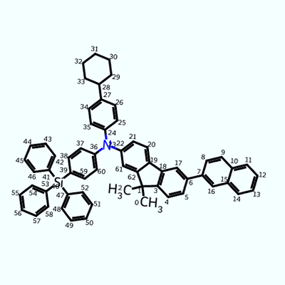 CC1(C)c2ccc(-c3ccc4ccccc4c3)cc2-c2ccc(N(c3ccc(C4CCCCC4)cc3)c3ccc([Si](c4ccccc4)(c4ccccc4)c4ccccc4)cc3)cc21